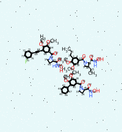 CCCc1cc(C(=O)N2C[C@H](CC)[C@H]2C(=O)NO)cc(OC)c1OC.COc1cc(C(=O)N2CCC2C(=O)NO)cc(-c2ccccc2)c1OC.COc1cc(C(=O)N2CCC2C(=O)NO)cc(C#Cc2cccc(F)c2)c1OC